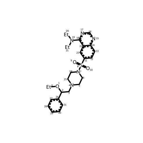 CCOC(CN1CCN(S(=O)(=O)c2ccc3ncnc(N(CC)CC)c3c2)CC1)c1ccccc1